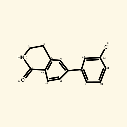 O=C1NCCc2cc(-c3cccc(Cl)c3)ccc21